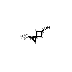 CC1CC12CC(O)C2